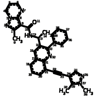 Cc1nn2cccnc2c1C(=O)N[C@@H](C)c1cc2cccc(C#Cc3cnn(C)c3C)c2nc1-c1ccccc1